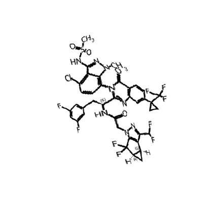 Cn1nc(NS(C)(=O)=O)c2c(Cl)ccc(-n3c([C@H](Cc4cc(F)cc(F)c4)NC(=O)Cn4nc(C(F)F)c5c4C(F)(F)[C@@H]4C[C@H]54)nc4cc(C5(C(F)(F)F)CC5)ccc4c3=O)c21